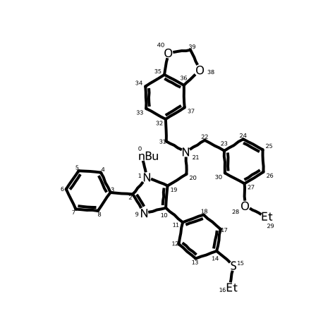 CCCCn1c(-c2ccccc2)nc(-c2ccc(SCC)cc2)c1CN(Cc1cccc(OCC)c1)Cc1ccc2c(c1)OCO2